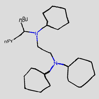 CCCCC(CCC)N(CCN(C1CCCCC1)C1CCCCC1)C1CCCCC1